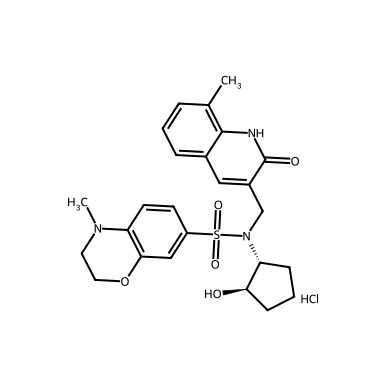 Cc1cccc2cc(CN([C@@H]3CCC[C@H]3O)S(=O)(=O)c3ccc4c(c3)OCCN4C)c(=O)[nH]c12.Cl